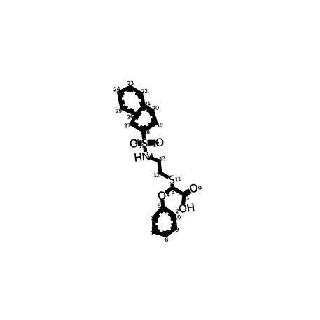 O=C(O)C(Oc1ccccc1)SCCNS(=O)(=O)c1ccc2ccccc2c1